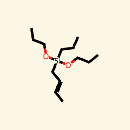 CC=CC[Si](CCC)(OCCC)OCCC